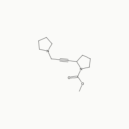 COC(=O)N1CCCC1C#CCN1CCCC1